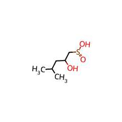 CC(C)CC(O)CS(=O)O